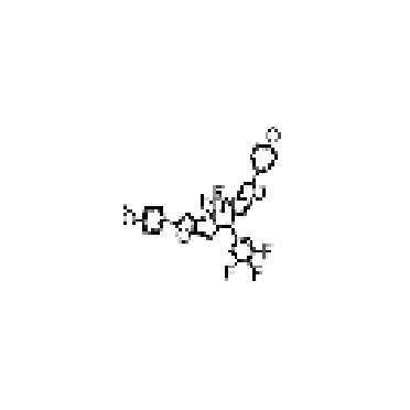 COc1ccc(-c2cc3c(o2)=CC2=C(c4cc(F)c(F)c(F)c4)c4cc5oc(-c6ccc(OC)cc6)cc5n4[B-](F)(F)[N+]=32)cc1